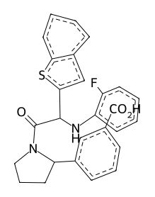 O=C(O)c1cccc(C2CCCN2C(=O)C(Nc2ccccc2F)c2cc3ccccc3s2)c1